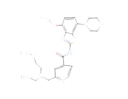 CCN(CCOC)Cc1cc(C(=O)Nc2nc3c(OC)ccc(N4CCOCC4)c3s2)ccn1